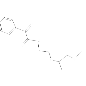 COCC(C)OCCNC(=O)C(=O)c1ccccc1